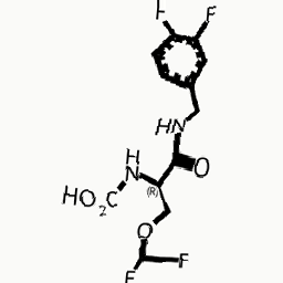 O=C(O)N[C@H](COC(F)F)C(=O)NCc1ccc(F)c(F)c1